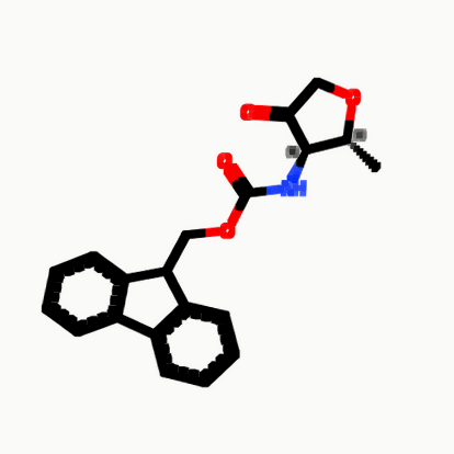 C[C@H]1OCC(=O)[C@@H]1NC(=O)OCC1c2ccccc2-c2ccccc21